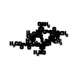 CCOC(=O)CCNC(=O)OCCCOc1cc(C(N)=O)cc2c3cnc(-c4cc(C)nn4CC)nc3n(CC=CCn3c(NC(=O)c4cc(C)nn4CC)nc4cc(C(N)=O)cc(OCCCOC(=O)c5cc(C)nn5CC)c43)c12